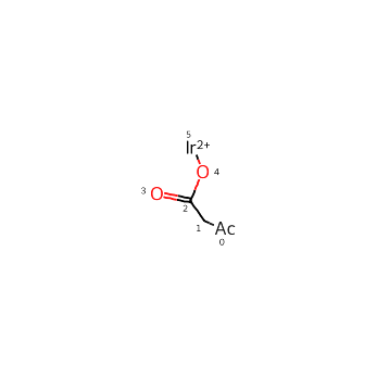 CC(=O)CC(=O)[O][Ir+2]